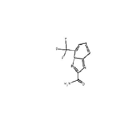 NC(=O)c1nc2cccc(C(F)(F)F)n2n1